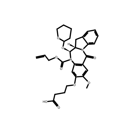 C=CCOC(=O)N1c2cc(OCCCC(=O)O)c(OC)cc2C(=O)N2c3ccccc3C[C@H]2[C@@H]1OC1CCCCO1